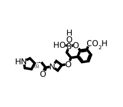 O=C(O)c1cccc2c1O[B-](O)(O)CC2OC1CN(C(=O)C[C@@H]2CCNC2)C1